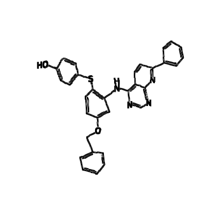 Oc1ccc(Sc2ccc(OCc3ccccc3)cc2Nc2ncnc3nc(-c4ccccc4)ccc23)cc1